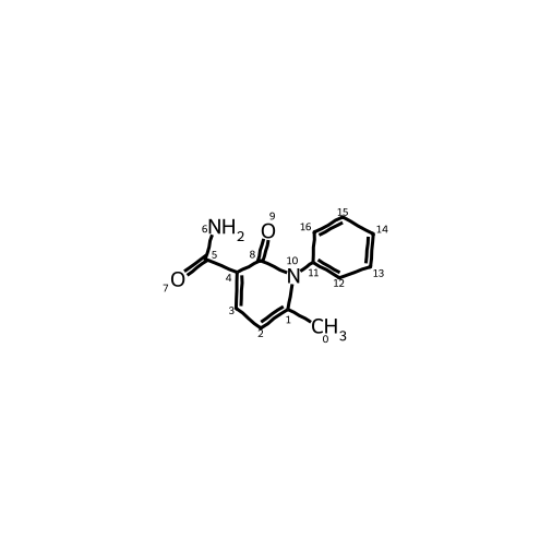 Cc1ccc(C(N)=O)c(=O)n1-c1ccccc1